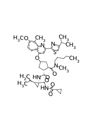 C=C(C)[C@@H]1C[C@]1(NC(=O)[C@@H]1C[C@@H](Oc2cc(-c3nc(C(C)C)cs3)nc3c(C)c(OC)ccc23)C[C@H]1C(=O)N(C)CCCCC)C(=O)NS(=O)(=O)C1CC1